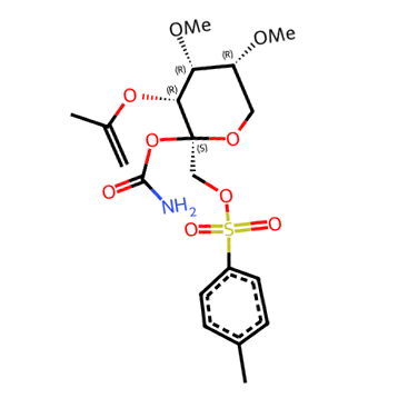 C=C(C)O[C@@H]1[C@H](OC)[C@H](OC)CO[C@@]1(COS(=O)(=O)c1ccc(C)cc1)OC(N)=O